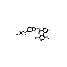 COc1cnc(Cl)cc1-c1cc(C)ncc1C(=O)Nc1nc2cnc(NCC(C)(C)O)cc2s1